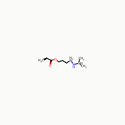 C=CC(=O)OCCC[SiH2]N[SiH](C)C